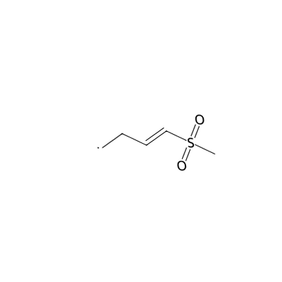 [CH2]CC=CS(C)(=O)=O